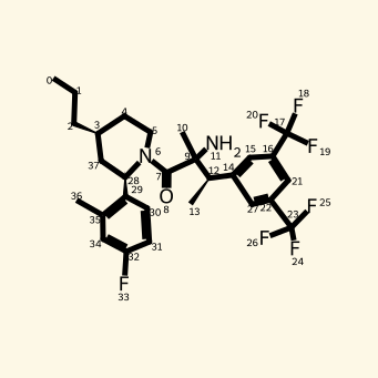 CCC[C@H]1CCN(C(=O)C(C)(N)[C@H](C)c2cc(C(F)(F)F)cc(C(F)(F)F)c2)[C@@H](c2ccc(F)cc2C)C1